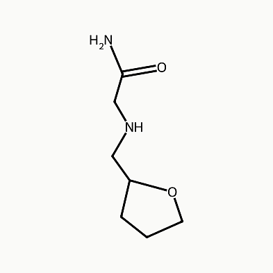 NC(=O)CNCC1CCCO1